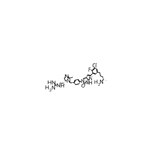 CC1=NC[C@@H](CCNC(=N)N)N1Cc1ccc(-n2cc3cc(-c4cc(CCC[C@H](C)N)cc(Cl)c4F)[nH]c3nc2=O)cc1